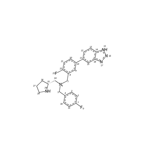 Fc1ccc(CN(Cc2cc(-c3ccc4[nH]nnc4c3)ccc2F)C[C@H]2CCCN2)cc1